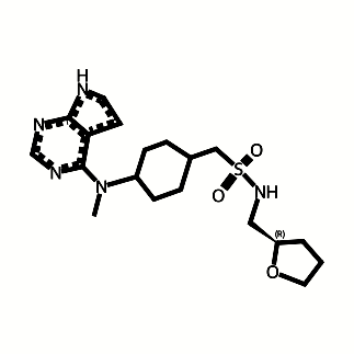 CN(c1ncnc2[nH]ccc12)C1CCC(CS(=O)(=O)NC[C@H]2CCCO2)CC1